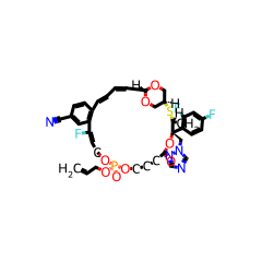 C=CCOP1(=O)OC/C=C(/F)c2cc(C#N)ccc2/C=C/C=C/[C@H]2OC[C@@H](CO2)S[C@H](C)[C@](Cn2cncn2)(c2ccc(F)cc2F)OC(=O)CCCO1